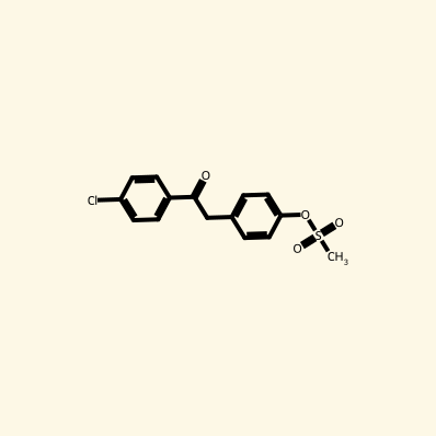 CS(=O)(=O)Oc1ccc(CC(=O)c2ccc(Cl)cc2)cc1